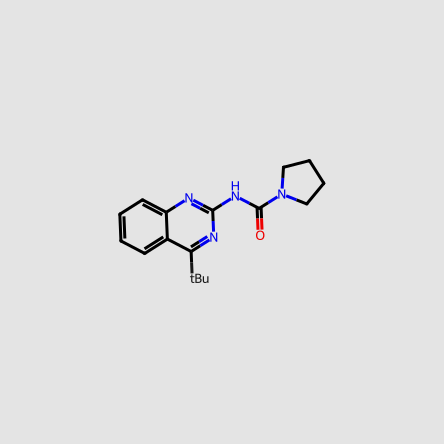 CC(C)(C)c1nc(NC(=O)N2CCCC2)nc2ccccc12